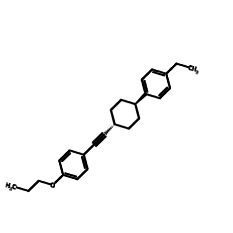 CCCOc1ccc(C#C[C@H]2CC[C@H](c3ccc(CC)cc3)CC2)cc1